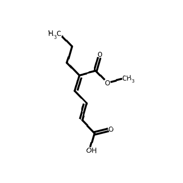 CCCC(=CC=CC(=O)O)C(=O)OC